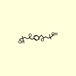 CC(C)(CO)CCC(=O)Cc1ccc(CC(=O)CCC(C)(C)CO)cc1